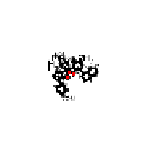 CC1=Cc2c(-c3cccc4ccccc34)cc(C)c(C)c2[CH]1[Zr]([CH3])([CH3])(=[SiH2])[CH]1C(C(C)C)=Cc2c(-c3ccc(C(C)(C)C)cc3)cccc21.Cl.Cl